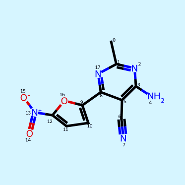 Cc1nc(N)c(C#N)c(-c2ccc([N+](=O)[O-])o2)n1